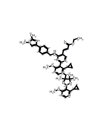 CCOC(=O)/C=C/c1cnc(-c2c(OC)nc[n+](CC3(C)OB(c4c(OC)ncnc4C4CC4)OC3(C)C)c2C2CC2)nc1NCc1ccc(-c2cn(C)c(C)n2)cc1